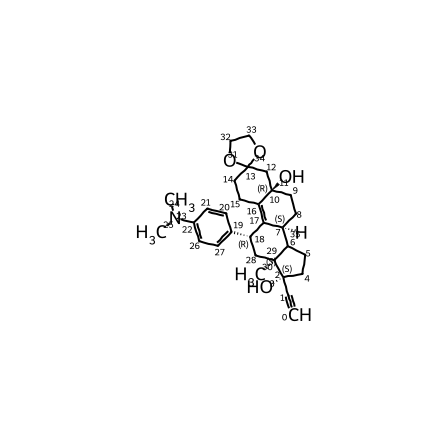 C#C[C@]1(O)CCC2[C@@H]3CC[C@@]4(O)CC5(CCC4=C3[C@@H](c3ccc(N(C)C)cc3)C[C@@]21C)OCCO5